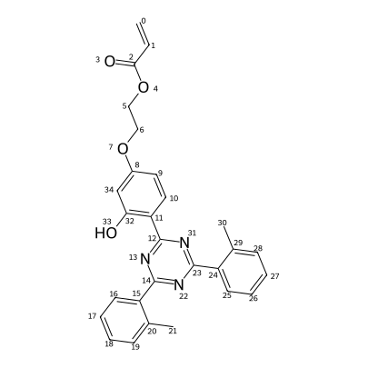 C=CC(=O)OCCOc1ccc(-c2nc(-c3ccccc3C)nc(-c3ccccc3C)n2)c(O)c1